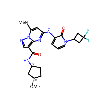 CNc1cc(Nc2cccn(C3CC(F)(F)C3)c2=O)nc2c(C(=O)N[C@H]3CC[C@H](OC)C3)cnn12